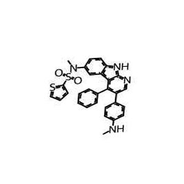 CNc1ccc(-c2cnc3[nH]c4ccc(N(C)S(=O)(=O)c5cccs5)cc4c3c2-c2ccccc2)cc1